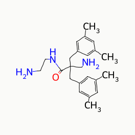 Cc1cc(C)cc(CC(CN)(Cc2cc(C)cc(C)c2)C(=O)NCCN)c1